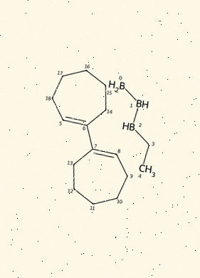 BBBCC.C1=C(C2=CCCCCC2)CCCCC1